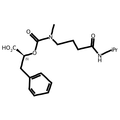 CC(C)NC(=O)CCCN(C)C(=O)O[C@@H](Cc1ccccc1)C(=O)O